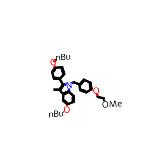 CCCCOc1ccc(-c2c(C)c3cc(OCCCC)ccc3n2Cc2ccc(OCCOC)cc2)cc1